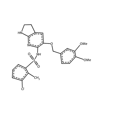 COc1ccc(COc2cc3c(nc2NS(=O)(=O)c2cccc(Cl)c2C)NCC3)cc1OC